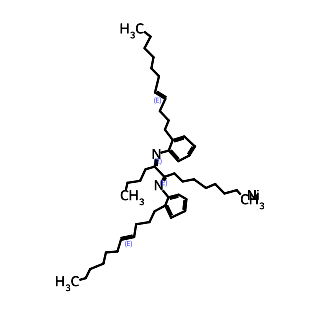 CCCCCC/C=C/CCCc1ccccc1/N=C(CCCC)\C(CCCCCCCC)=N\c1ccccc1CCC/C=C/CCCCCC.[Ni]